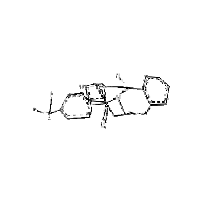 O=S(=O)(c1ccc(C(F)(F)F)cc1)N1C2Cc3ccccc3[C@@H]1c1c[nH]nc1C2